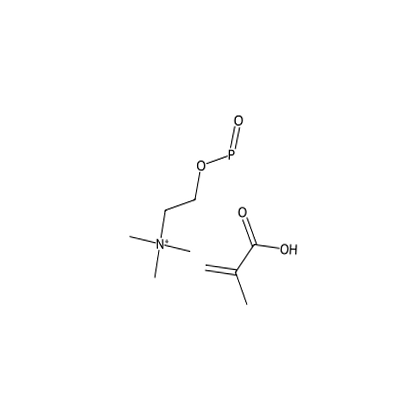 C=C(C)C(=O)O.C[N+](C)(C)CCOP=O